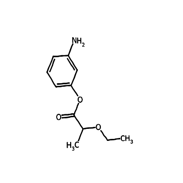 CCOC(C)C(=O)Oc1cccc(N)c1